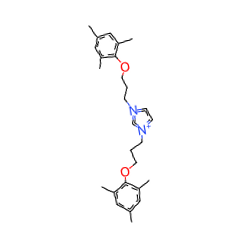 Cc1cc(C)c(OCCCn2cc[n+](CCCOc3c(C)cc(C)cc3C)c2)c(C)c1